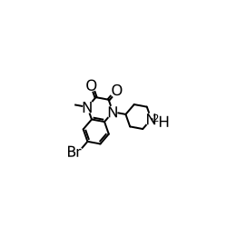 [2H]N1CCC(n2c(=O)c(=O)n(C)c3cc(Br)ccc32)CC1